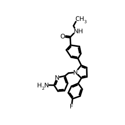 CCNC(=O)c1ccc(-c2ccc(-c3ccc(F)cc3)n2Cc2cccc(N)n2)cc1